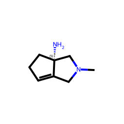 CN1CC2=CCC[C@@]2(N)C1